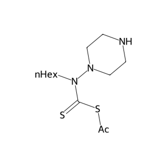 CCCCCCN(C(=S)SC(C)=O)N1CCNCC1